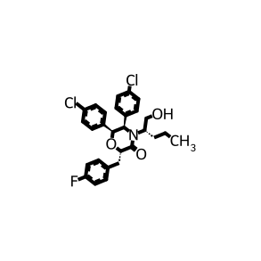 CCC[C@@H](CO)N1C(=O)[C@H](Cc2ccc(F)cc2)O[C@@H](c2ccc(Cl)cc2)[C@H]1c1ccc(Cl)cc1